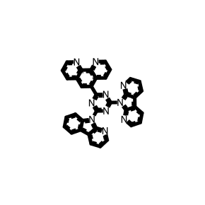 c1cnc2c(c1)cc(-c1nc(-n3c4ccccc4c4cccnc43)nc(-n3c4ncccc4c4cccnc43)n1)c1cccnc12